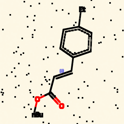 CCCCOC(=O)/C=C/c1ccc(CC)cc1